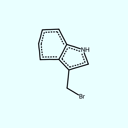 BrCc1c[nH]c2ccccc12